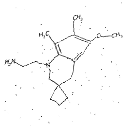 COc1cc2c(c(C)c1C)N(CCN)CC1(CCC1)C2